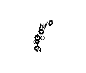 O=c1c2cc(-c3cccnc3)oc2ccn1-c1ccc2c(cnn2CCN2CCCC2)c1